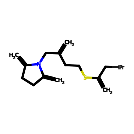 C=C(CCSC(=C)CC(C)C)CN1C(=C)CCC1=C